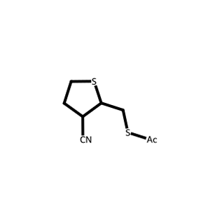 CC(=O)SCC1SCCC1C#N